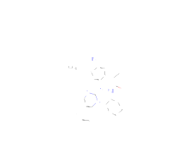 C=CC(=O)Nc1cccc(CC(C=C)c2nc(Nc3ccc(NCCOCC)c(OC)c3)ncc2C(F)(F)F)c1